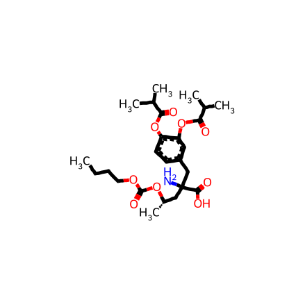 CCCCOC(=O)O[C@@H](C)CC(N)(Cc1ccc(OC(=O)C(C)C)c(OC(=O)C(C)C)c1)C(=O)O